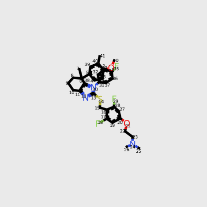 COc1ccc(C2(C)CCCc3nc(SCc4c(F)cc(OCCN(C)C)cc4F)n(-c4ccc(F)cc4)c32)cc1C